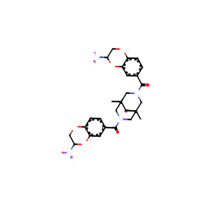 CC12CN(C(=O)c3ccc4c(c3)OC([N+](=O)[O-])CO4)CC(C)(CN(C(=O)c3ccc4c(c3)OC([N+](=O)[O-])CO4)C1)C2=O